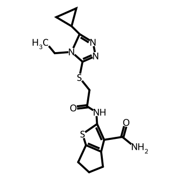 CCn1c(SCC(=O)Nc2sc3c(c2C(N)=O)CCC3)nnc1C1CC1